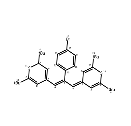 CC(C)(C)C1=CC(=CC(=CC2=CC(C(C)(C)C)SC(C(C)(C)C)=C2)c2ccc(Br)cc2)C=C(C(C)(C)C)S1